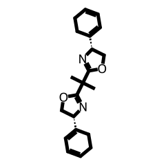 CC(C)(C1=N[C@H](C2=CC=CCC2)CO1)C1=N[C@H](C2=CC=CCC2)CO1